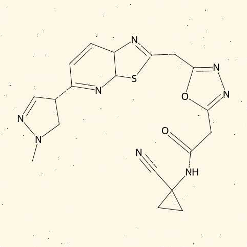 CN1CC(C2=NC3SC(Cc4nnc(CC(=O)NC5(C#N)CC5)o4)=NC3C=C2)C=N1